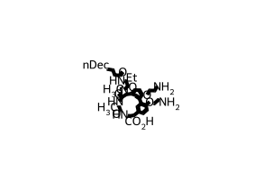 CCCCCCCCCCCCCC(=O)N[C@@H](CC)C(=O)N(C)[C@@H]1C(=O)N[C@@H](C)C(=O)N[C@H](C(=O)O)Cc2ccc(OCCN)c(c2)-c2cc1ccc2OCCN